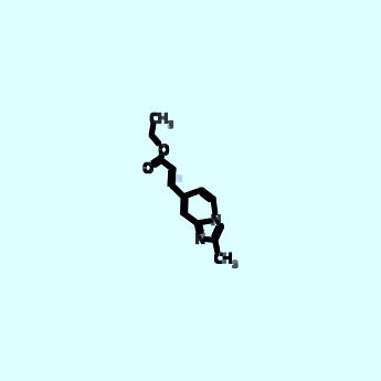 CCOC(=O)/C=C/c1ccn2cc(C)nc2c1